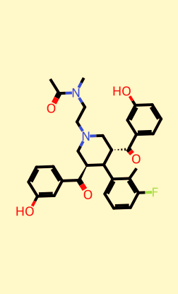 CC(=O)N(C)CCN1C[C@H](C(=O)c2cccc(O)c2)C(c2cccc(F)c2C)[C@@H](C(=O)c2cccc(O)c2)C1